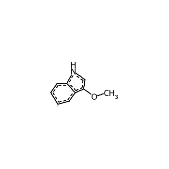 COc1c[nH]c2cc[c]cc12